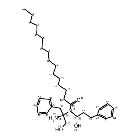 CCCCCCCCCCCCCCCC(=O)N([C@@H](O)CCc1ccccc1)[C@](N)(CO)Cc1ccccc1